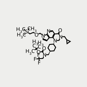 CC(C)(C)OC(=O)N(CC(F)(F)F)C[C@H]1CC[C@H](N2CN(CC3CC3)C(=O)c3cnc4c(ccn4COCC[Si](C)(C)C)c32)CC1